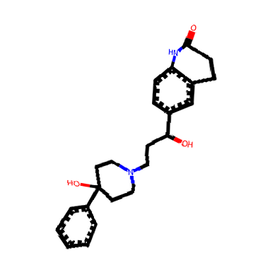 O=C1CCc2cc(C(O)CCN3CCC(O)(c4ccccc4)CC3)ccc2N1